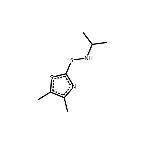 Cc1nc(SNC(C)C)sc1C